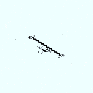 C=CC(C)(C)CC.O=C(O)CCCCCCCCCCCCCCCCCCCCC(=O)O